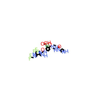 Cn1c(-c2cn(CC(F)F)nc2C(F)(F)F)cnc1C(=O)Nc1ccc(C(=O)N2CCN(C(=O)N[C@H]3CCNC3)CC2)c(Cl)c1.O=CO